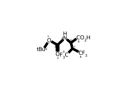 CC(C)(C)OC(=O)NC(C(=O)O)C(C(F)(F)F)C(F)(F)F